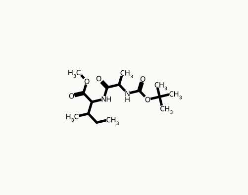 CCC(C)C(NC(=O)C(C)NC(=O)OC(C)(C)C)C(=O)OC